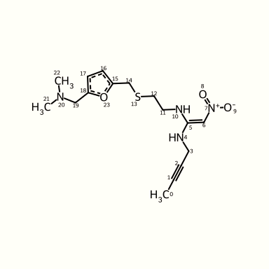 CC#CCN/C(=C/[N+](=O)[O-])NCCSCc1ccc(CN(C)C)o1